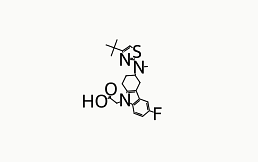 CN(c1nc(C(C)(C)C)cs1)C1CCc2c(c3cc(F)ccc3n2CC(=O)O)C1